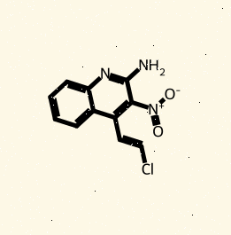 Nc1nc2ccccc2c(C=CCl)c1[N+](=O)[O-]